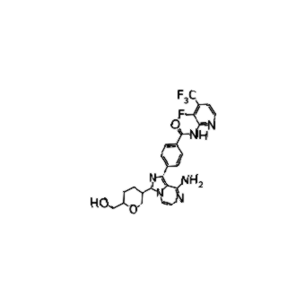 Nc1nccn2c(C3CCC(CO)OC3)nc(-c3ccc(C(=O)Nc4nccc(C(F)(F)F)c4F)cc3)c12